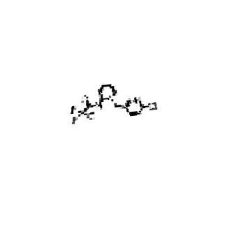 O=C(N=c1ccccn1Cc1ccc(Cl)nc1)C(F)(F)Cl